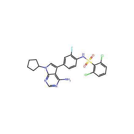 Nc1ncnc2c1c(-c1ccc(NS(=O)(=O)c3c(Cl)cccc3Cl)c(F)c1)cn2C1CCCC1